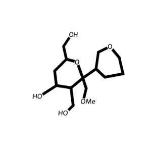 COCC1(C2CCCOC2)OC(CO)CC(O)C1CO